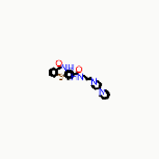 O=C(NCCCN1CCC(N2CCCCC2)CC1)c1ccc2c(c1)NC(=O)c1ccccc1S2